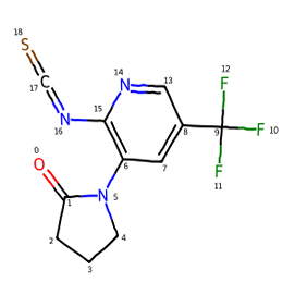 O=C1CCCN1c1cc(C(F)(F)F)cnc1N=C=S